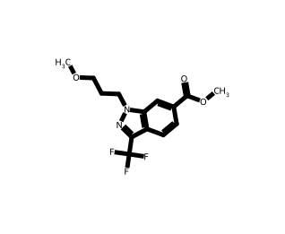 COCCCn1nc(C(F)(F)F)c2ccc(C(=O)OC)cc21